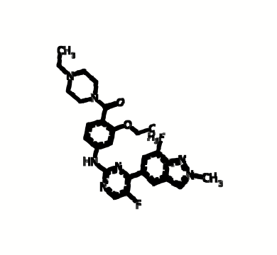 CCOc1cc(Nc2ncc(F)c(-c3cc(F)c4nn(C)cc4c3)n2)ccc1C(=O)N1CCN(CC)CC1